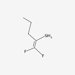 CCCC([SiH3])=C(F)F